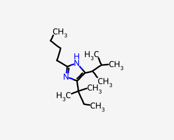 CCCCc1nc(C(C)(C)CC)c(C(C)C(C)C)[nH]1